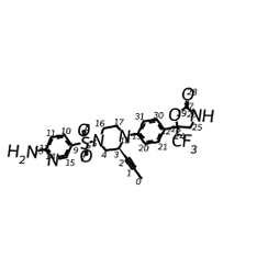 CC#C[C@H]1CN(S(=O)(=O)c2ccc(N)nc2)CCN1c1ccc(C2(C(F)(F)F)CNC(=O)O2)cc1